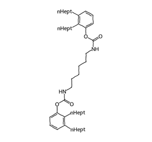 CCCCCCCc1cccc(OC(=O)NCCCCCCNC(=O)Oc2cccc(CCCCCCC)c2CCCCCCC)c1CCCCCCC